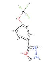 FC(F)(F)Oc1ccc(-c2nnco2)cc1